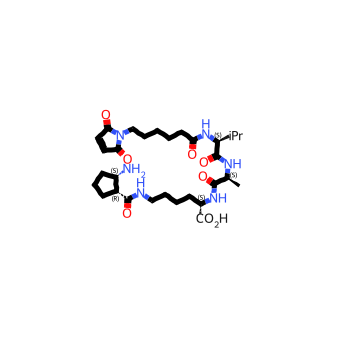 CC(C)[C@H](NC(=O)CCCCCN1C(=O)C=CC1=O)C(=O)N[C@@H](C)C(=O)N[C@@H](CCCCNC(=O)[C@@H]1CCC[C@@H]1N)C(=O)O